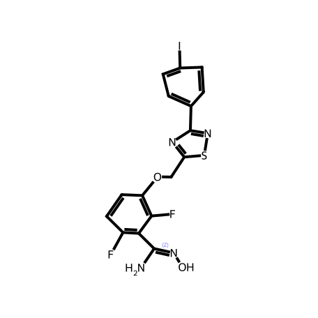 N/C(=N\O)c1c(F)ccc(OCc2nc(-c3ccc(I)cc3)ns2)c1F